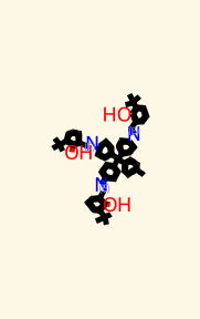 Cc1ccc(C(c2ccc(/N=C/c3cccc(C(C)(C)C)c3O)cc2)(c2ccc(/N=C/c3cccc(C(C)(C)C)c3O)cc2)c2ccc(/N=C/c3cccc(C(C)(C)C)c3O)cc2)cc1